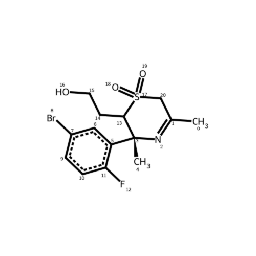 CC1=N[C@](C)(c2cc(Br)ccc2F)C(CCO)S(=O)(=O)C1